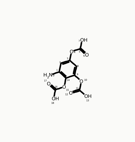 Nc1cc(OC(=O)O)cc(OC(=O)O)c1OC(=O)O